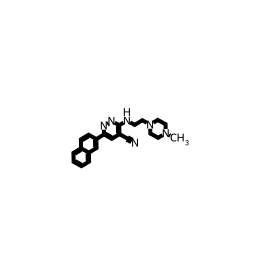 CN1CCN(CCNc2nnc(-c3ccc4ccccc4c3)cc2C#N)CC1